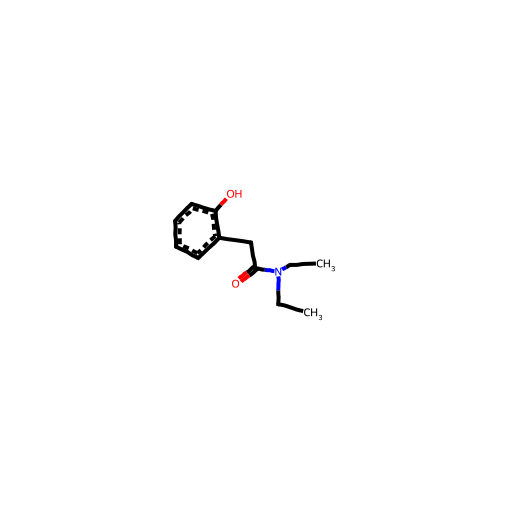 CCN(CC)C(=O)Cc1ccccc1O